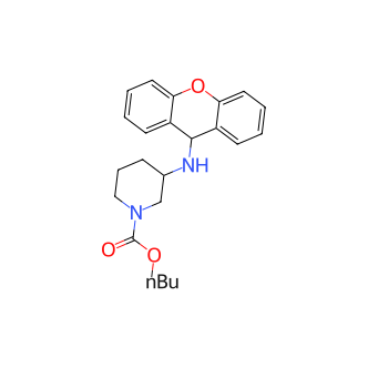 CCCCOC(=O)N1CCCC(NC2c3ccccc3Oc3ccccc32)C1